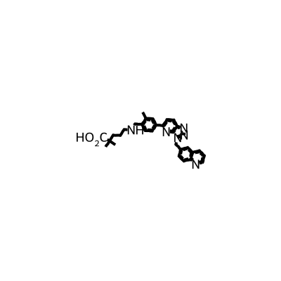 Cc1cc(-c2ccc3nnn(Cc4ccc5ncccc5c4)c3n2)ccc1CNCCCC(C)(C)C(=O)O